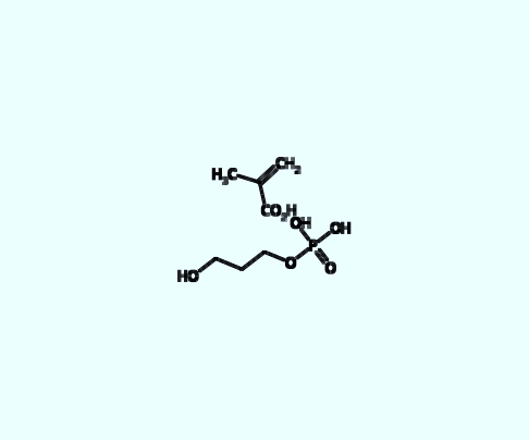 C=C(C)C(=O)O.O=P(O)(O)OCCCO